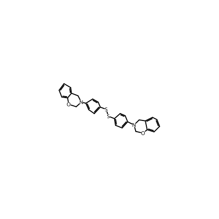 c1ccc2c(c1)CN(c1ccc(SSc3ccc(N4COc5ccccc5C4)cc3)cc1)CO2